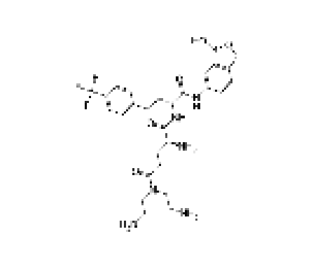 NCCN(CCN)C(=O)CC[C@H](N)C(=O)N[C@H](CCc1ccc(C(F)(F)F)cc1)C(=O)Nc1ccc2c(c1)B(O)OC2